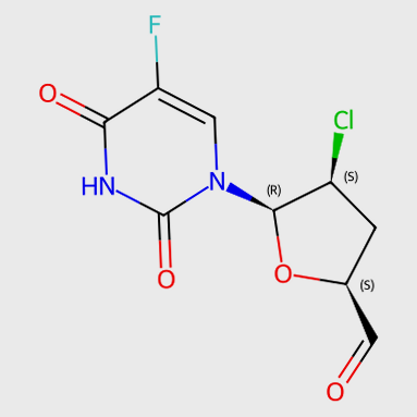 O=C[C@@H]1C[C@H](Cl)[C@H](n2cc(F)c(=O)[nH]c2=O)O1